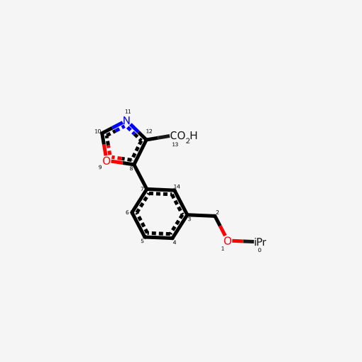 CC(C)OCc1cccc(-c2ocnc2C(=O)O)c1